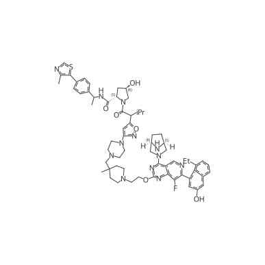 CCc1cccc2cc(O)cc(-c3ncc4c(N5C[C@H]6CC[C@@H](C5)N6)nc(OCCN5CCC(C)(CN6CCN(c7cc(C(C(=O)N8C[C@H](O)C[C@H]8C(=O)NC(C)c8ccc(-c9scnc9C)cc8)C(C)C)on7)CC6)CC5)nc4c3F)c12